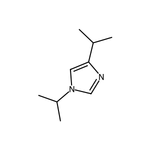 CC(C)c1cn(C(C)C)cn1